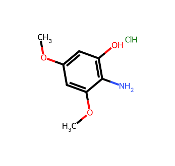 COc1cc(O)c(N)c(OC)c1.Cl